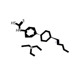 CCC/C=C/[C@H]1CC[C@H](c2ccc(NC(=S)S)cc2)CC1.CCN(CC)CC